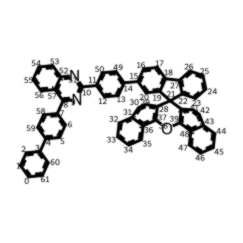 c1ccc(-c2ccc(-c3nc(-c4ccc(-c5ccc6c(c5)C5(c7ccccc7-6)c6ccc7ccccc7c6Oc6c5ccc5ccccc65)cc4)nc4ccccc34)cc2)cc1